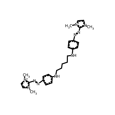 Cn1cc[n+](C)c1N=Nc1ccc(NCCCCCNc2ccc(N=Nc3n(C)cc[n+]3C)cc2)cc1